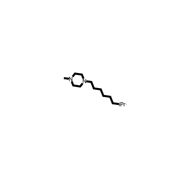 C[C](C)CCCCCCN1CCN(C)CC1